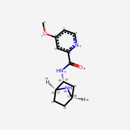 COc1ccnc(C(=O)N[C@@H]2C[C@H]3CC[C@@H]2N3)c1